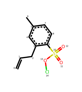 C=CCc1cc(C)ccc1S(=O)(=O)OCl